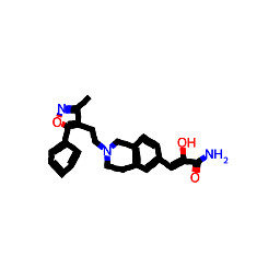 Cc1noc(-c2ccccc2)c1CCN1CCc2cc(/C=C(\O)C(N)=O)ccc2C1